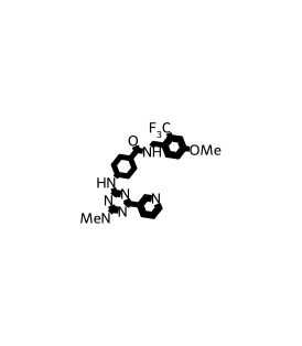 CNc1nc(NC2CCC(C(=O)NCc3ccc(OC)cc3C(F)(F)F)CC2)nc(-c2cccnc2)n1